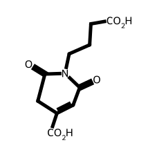 O=C(O)CCCN1C(=O)C=C(C(=O)O)CC1=O